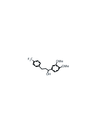 COc1ccc(C(O)CCc2ccc(C(F)(F)F)cc2)cc1OC